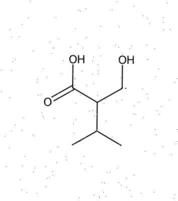 CC(C)C([CH]O)C(=O)O